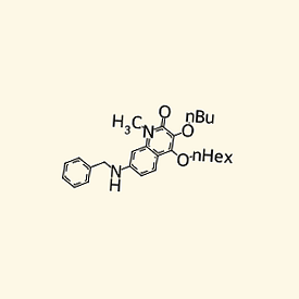 CCCCCCOc1c(OCCCC)c(=O)n(C)c2cc(NCc3ccccc3)ccc12